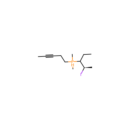 CC#CCC[PH](C)(C)C(CC)[C@@H](C)I